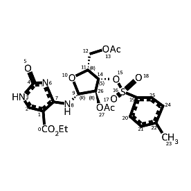 CCOC(=O)c1c[nH]c(=O)nc1N[C@@H]1O[C@H](COC(C)=O)[C@H](OS(=O)(=O)c2ccc(C)cc2)[C@H]1OC(C)=O